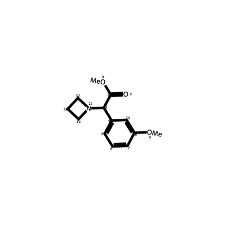 COC(=O)C(c1cccc(OC)c1)N1CCC1